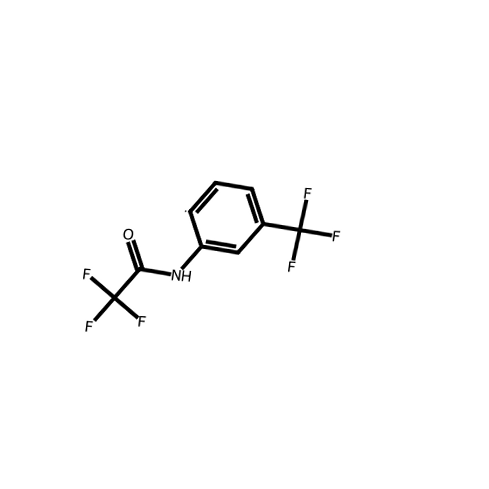 O=C(Nc1[c]ccc(C(F)(F)F)c1)C(F)(F)F